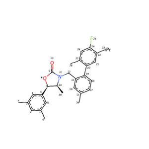 Cc1cc(C)cc([C@H]2OC(=O)N(Cc3cc(C)ccc3-c3cc(C(C)C)c(F)cc3C)[C@H]2C)c1